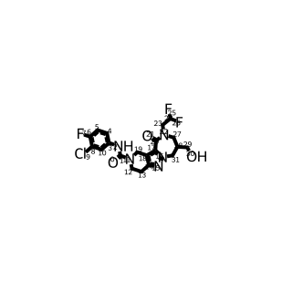 O=C(Nc1ccc(F)c(Cl)c1)N1CCc2nn3c(c2C1)C(=O)N(CC(F)F)CC(CO)C3